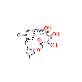 COC1(c2ccc(Cl)c(Cc3ccc(C)s3)c2)O[C@H](CO)[C@@H](O)[C@H](O)[C@H]1O